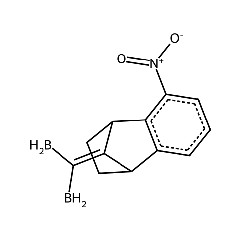 BC(B)=C1C2CCC1c1c2cccc1[N+](=O)[O-]